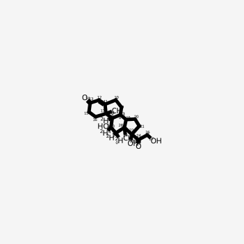 [2H]C1([2H])C([2H])(O)C2([2H])C(CCC3=CC(=O)CCC32C)C2CCC(O)(C(=O)CO)C21C